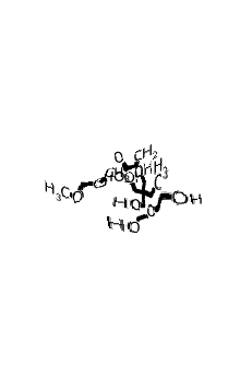 C=CC(=O)O.CCC(CO)(CO)CO.COCOC.OCCOCCO